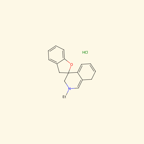 CCN1C=C2CC=CC=C2C2(Cc3ccccc3O2)C1.Cl